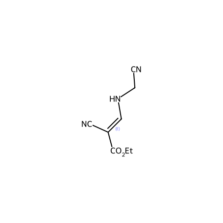 CCOC(=O)/C(C#N)=C/NCC#N